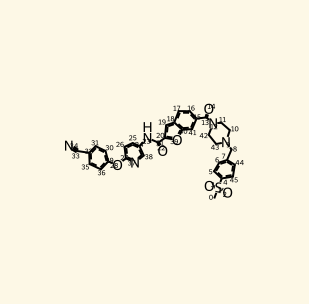 CS(=O)(=O)c1ccc(CN2CCN(C(=O)c3ccc4cc(C(=O)Nc5ccc(Oc6ccc(C#N)cc6)nc5)oc4c3)CC2)cc1